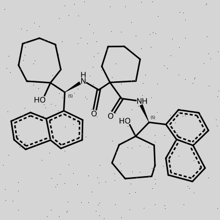 O=C(N[C@@H](c1cccc2ccccc12)C1(O)CCCCCC1)C1(C(=O)N[C@@H](c2cccc3ccccc23)C2(O)CCCCCC2)CCCCC1